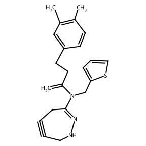 C=C(CCc1ccc(C)c(C)c1)N(Cc1cccs1)C1=NNCC#CC1